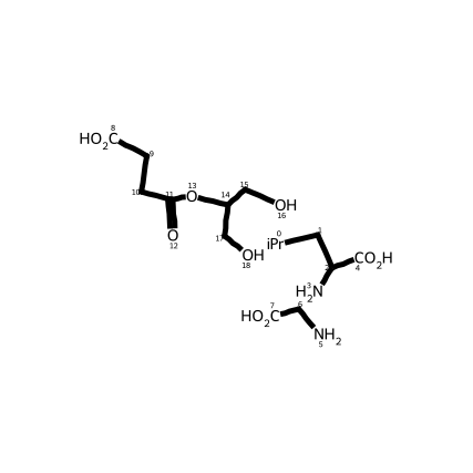 CC(C)CC(N)C(=O)O.NCC(=O)O.O=C(O)CCC(=O)OC(CO)CO